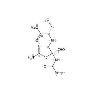 CCCCCCCC(=O)N[C@](C=O)(CN[C@@H](CC(C)C)C(=O)OC)CC(N)=O